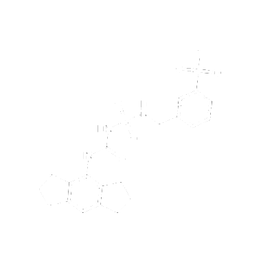 CS(=O)(=O)c1cccc(CNS(=O)(=O)NC(=O)Nc2c3c(cc4c2CCC4)CCC3)c1